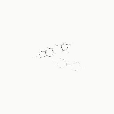 Cn1cc(Nc2nc(N[C@H]3CC[C@H](N4CCOCC4)CC3)c3nc(C(C)(C)C)sc3n2)cn1